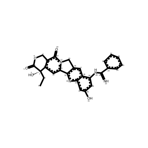 CC[C@@]1(O)C(=O)OCc2c1cc1n(c2=O)Cc2cc3c(NC(=N)c4ccccc4)cc(O)cc3nc2-1